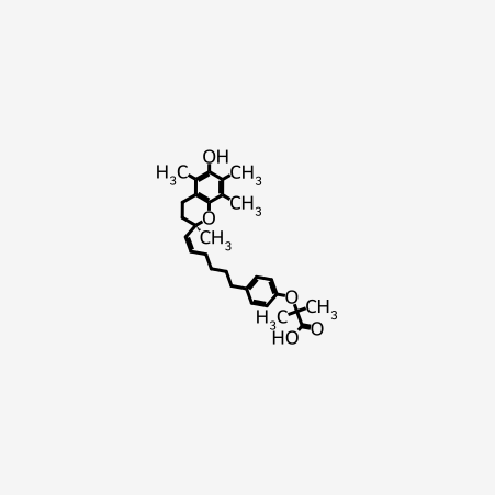 Cc1c(C)c2c(c(C)c1O)CC[C@](C)(/C=C\CCCCc1ccc(OC(C)(C)C(=O)O)cc1)O2